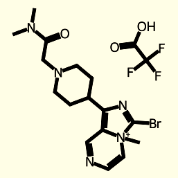 CN(C)C(=O)CN1CCC(C2=C3C=NC=C[N+]3(C)C(Br)=N2)CC1.O=C(O)C(F)(F)F